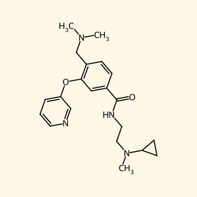 CN(C)Cc1ccc(C(=O)NCCN(C)C2CC2)cc1Oc1cccnc1